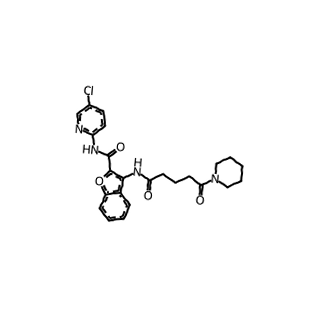 O=C(CCCC(=O)N1CCCCC1)Nc1c(C(=O)Nc2ccc(Cl)cn2)oc2ccccc12